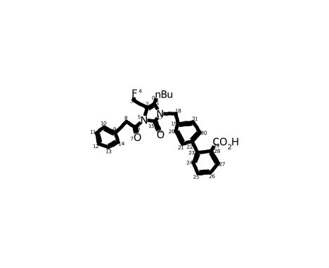 CCCCc1c(CF)n(C(=O)Cc2ccccc2)c(=O)n1Cc1ccc(-c2ccccc2C(=O)O)cc1